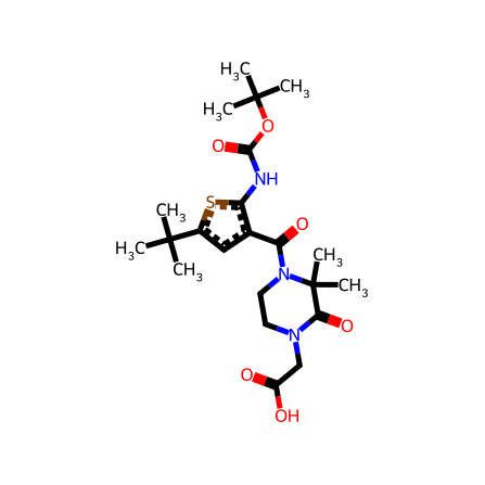 CC(C)(C)OC(=O)Nc1sc(C(C)(C)C)cc1C(=O)N1CCN(CC(=O)O)C(=O)C1(C)C